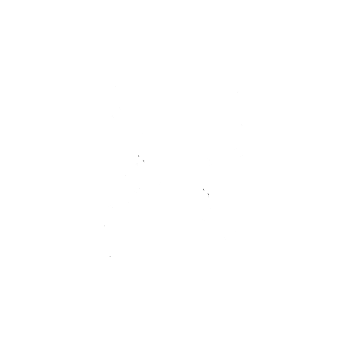 CCc1ccc(-n2c3ccc(C(C)(C)CC(C)(C)C)cc3c3cc4c(cc32)c2cc(C(C)(C)CC(C)(C)C)ccc2n4-c2ccc(CC)cc2)cc1